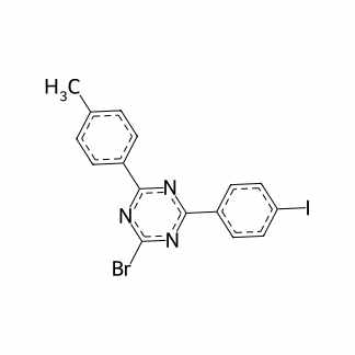 Cc1ccc(-c2nc(Br)nc(-c3ccc(I)cc3)n2)cc1